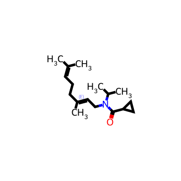 CC(C)=CCC/C(C)=C/CN(C(=O)C1CC1)C(C)C